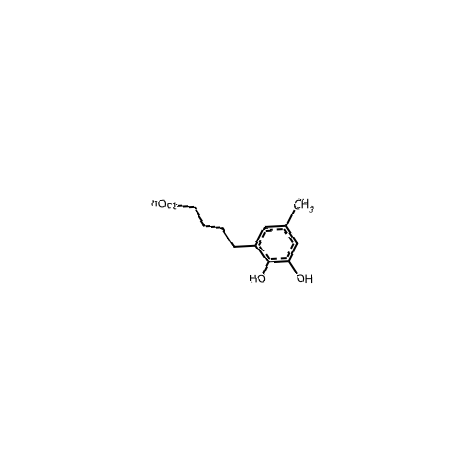 CCCCCCCCCCCCc1cc(C)cc(O)c1O